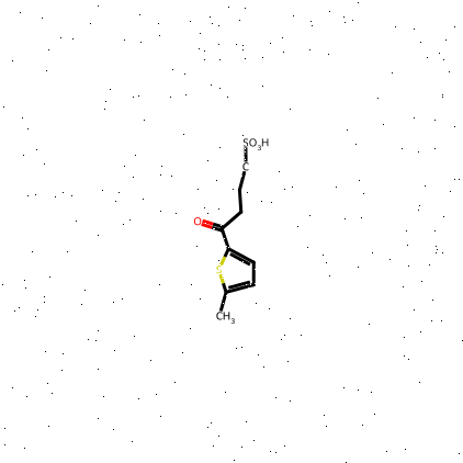 Cc1ccc(C(=O)CCCS(=O)(=O)O)s1